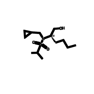 CCCC[C@@H](CO)N(CC1CC1)S(=O)(=O)C(C)C